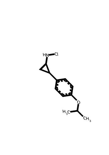 CC(C)Oc1ccc(C2CC2NCl)cc1